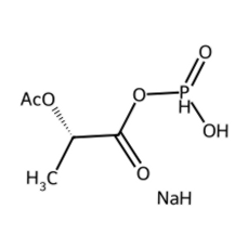 CC(=O)O[C@@H](C)C(=O)O[PH](=O)O.[NaH]